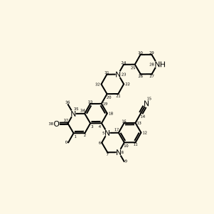 Cc1cc2c(N3CCN(C)c4ccc(C#N)cc43)cc(C3CCN(CC4CCNCC4)CC3)cc2n(C)c1=O